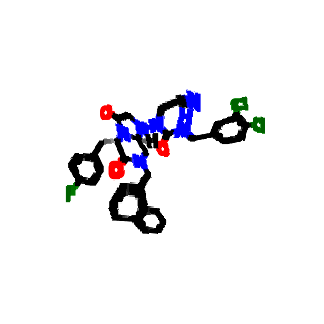 N#CCN(C(=O)NCc1ccc(Cl)c(Cl)c1)N1CC(=O)N2[C@@H](Cc3ccc(F)cc3)C(=O)N(Cc3cccc4ccccc34)C[C@@H]21